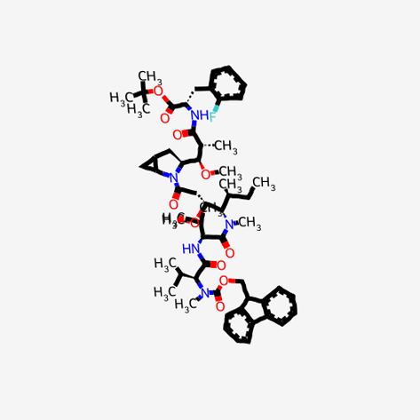 CC[C@H](C)[C@@H]([C@@H](CC(=O)N1C2CC2C[C@H]1[C@H](OC)[C@@H](C)C(=O)N[C@@H](Cc1ccccc1F)C(=O)OC(C)(C)C)OC)N(C)C(=O)[C@@H](NC(=O)[C@H](C(C)C)N(C)C(=O)OCC1c2ccccc2-c2ccccc21)C(C)C